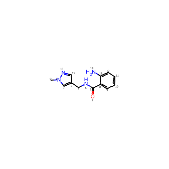 Cn1cc(CNC(=O)c2ccccc2N)cn1